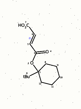 CC(C)(C)C1(OC(=O)/C=C/C(=O)O)CCCCC1